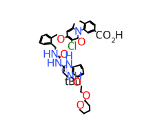 Cc1ccc(C(=O)O)cc1-n1c(C)cc(OCc2ccccc2CNC(=O)N/C(=C/C(=N)C(C)(C)C)Nc2cccc(OCCOC3CCCCO3)c2)c(Cl)c1=O